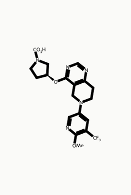 COc1ncc(N2CCc3ncnc(O[C@H]4CCN(C(=O)O)C4)c3C2)cc1C(F)(F)F